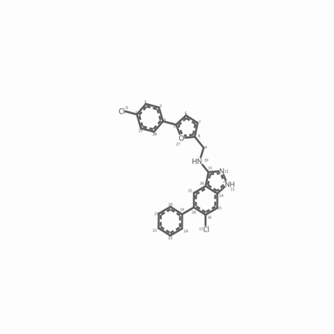 Clc1ccc(-c2ccc(CNc3n[nH]c4cc(Cl)c(-c5ccccc5)cc34)o2)cc1